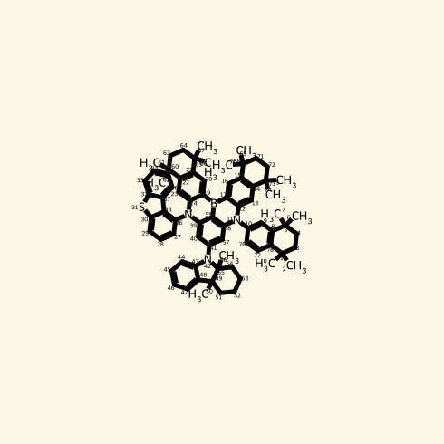 CC1(C)CCC(C)(C)c2cc(N3c4cc5c(cc4B4c6cc7c(cc6N(c6cccc8sc9ccccc9c68)c6cc(N8c9ccccc9C9(C)CCCCC89C)cc3c64)C(C)(C)CCC7(C)C)C(C)(C)CCC5(C)C)ccc21